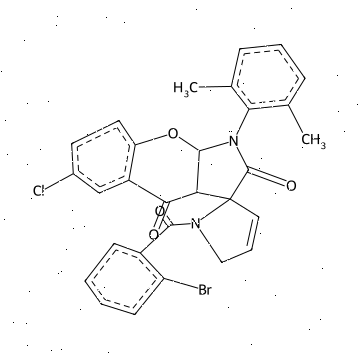 Cc1cccc(C)c1N1C(=O)C2(C=CCN2C(=O)c2ccccc2Br)C2C(=O)c3cc(Cl)ccc3OC21